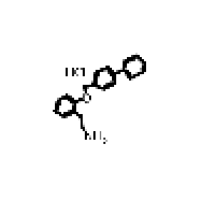 Cl.NCCc1ccccc1OCc1ccc(-c2ccccc2)cc1